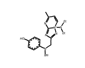 CCCN(CC1=N[N+]2(N(CC)CC)C=CC(C)=NC2=N1)c1ccc(O)cc1